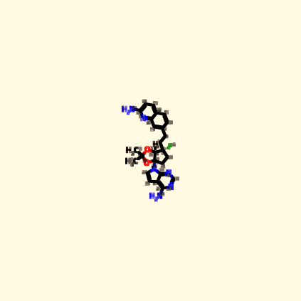 CC1(C)O[C@@H]2[C@@](F)(CCc3ccc4ccc(N)nc4c3)CC[C@]2(n2ccc3c(N)ncnc32)O1